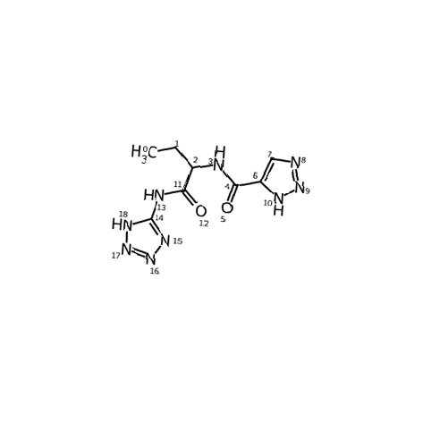 CCC(NC(=O)c1cnn[nH]1)C(=O)Nc1nnn[nH]1